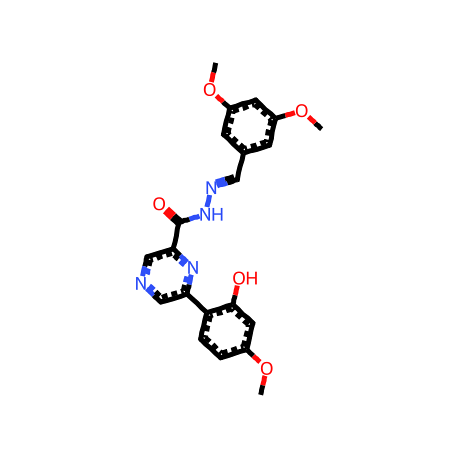 COc1cc(/C=N/NC(=O)c2cncc(-c3ccc(OC)cc3O)n2)cc(OC)c1